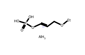 CCOC/C=C/OP(=O)(O)O.[AlH3]